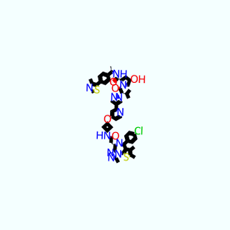 Cc1ncsc1-c1ccc([C@H](C)NC(=O)[C@@H]2C[C@@H](O)CN2C(=O)[C@H](C(C)C)n2cc(-c3cc(O[C@H]4C[C@H](NC(=O)C[C@@H]5N=C(c6ccc(Cl)cc6)c6c(sc(C)c6C)-n6c(C)nnc65)C4)ccn3)cn2)cc1